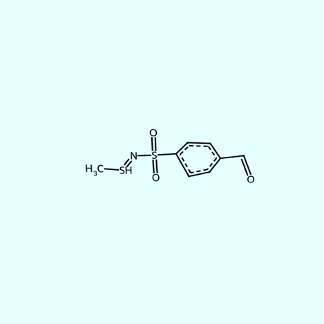 C[SH]=NS(=O)(=O)c1ccc(C=O)cc1